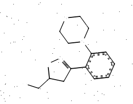 OCC1CC(c2ccccc2N2CCNCC2)=NO1